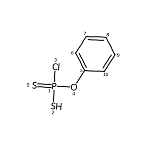 S=P(S)(Cl)Oc1ccccc1